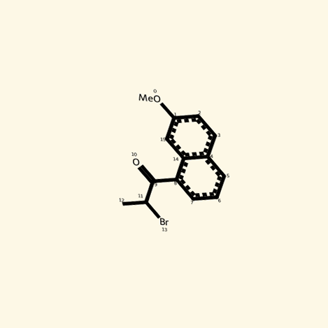 COc1ccc2cccc(C(=O)C(C)Br)c2c1